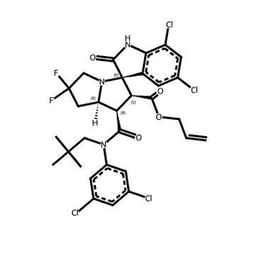 C=CCOC(=O)[C@H]1[C@@H](C(=O)N(CC(C)(C)C)c2cc(Cl)cc(Cl)c2)[C@H]2CC(F)(F)CN2[C@]12C(=O)Nc1c(Cl)cc(Cl)cc12